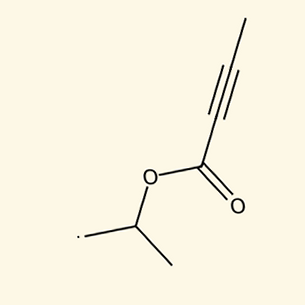 [CH2]C(C)OC(=O)C#CC